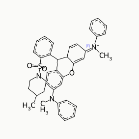 CC1CCN(S(=O)(=O)c2ccccc2C2c3ccc(N(C)c4ccccc4)cc3OC3=C/C(=[N+](\C)c4ccccc4)C=CC32)CC1